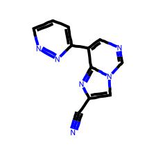 N#Cc1cn2cncc(-c3cccnn3)c2n1